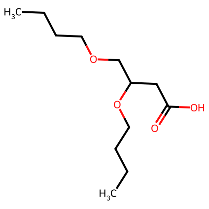 CCCCOCC(CC(=O)O)OCCCC